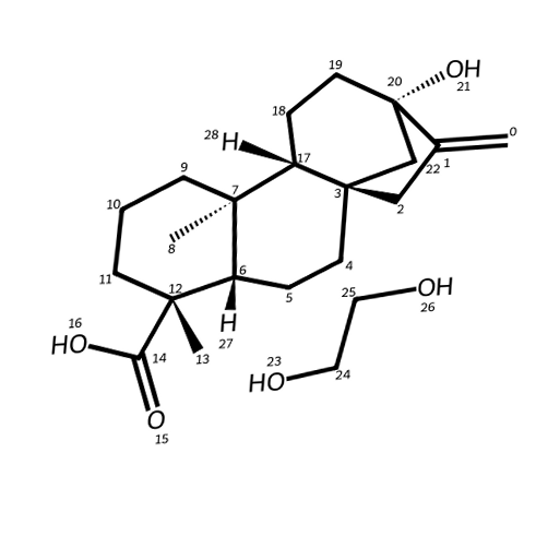 C=C1C[C@@]23CC[C@H]4[C@@](C)(CCC[C@@]4(C)C(=O)O)[C@@H]2CC[C@]1(O)C3.OCCO